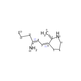 C=C1NCCC/C1=C/C=C(\N)CCI